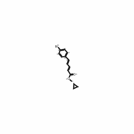 C1CC1.COC(=O)C=CC=Cc1ccc(Br)cc1